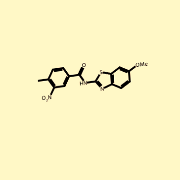 COc1ccc2nc(NC(=O)c3ccc(C)c([N+](=O)[O-])c3)sc2c1